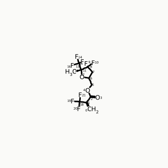 C=C(C(=O)OCC1CC(F)(F)C(C)(C(F)(F)F)O1)C(F)(F)F